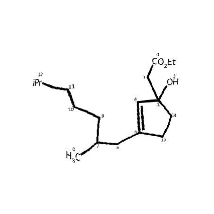 CCOC(=O)CC1(O)C=C(CC(C)CCCC(C)C)CC1